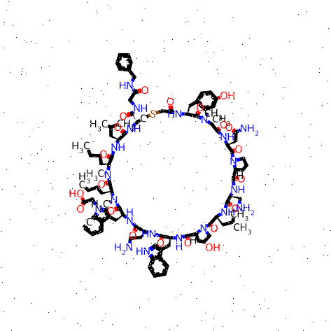 CCCC[C@H]1C(=O)N(C)[C@@H](CCCC)C(=O)N[C@@H](CC(C)C)C(=O)N[C@H](C(=O)NCC(=O)NCc2ccccc2)CSCC(=O)N[C@@H](Cc2ccc(O)cc2)C(=O)N(C)[C@@H](C)C(=O)N[C@@H](CC(N)=O)C(=O)N2CCC[C@H]2C(=O)N[C@@H](CN)C(=O)N[C@@H](CC(C)C)C(=O)N2C[C@H](O)C[C@H]2C(=O)N[C@@H](Cc2c[nH]c3ccccc23)C(=O)N[C@@H](CCN)C(=O)N[C@@H](Cc2cn(CC(=O)O)c3ccccc23)C(=O)N1C